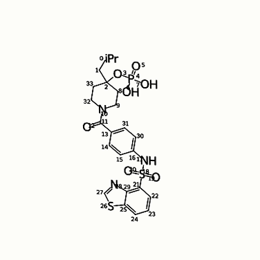 CC(C)CC1(OP(=O)(O)O)CCN(C(=O)c2ccc(NS(=O)(=O)c3cccc4scnc34)cc2)CC1